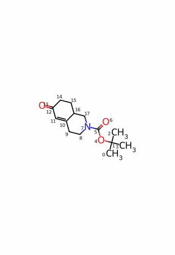 CC(C)(C)OC(=O)N1CCC2=CC(=O)CCC2C1